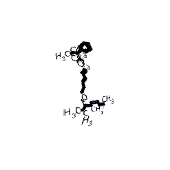 C=C(/C=C\C=C/C)[C@@H](COCCCCCCOC[C@H](c1ccccc1)C(C)(C)C)C(C)C